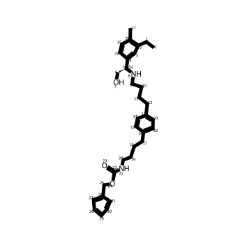 CCc1cc([C@@H](CO)NCCCCc2ccc(CCCCNC(=O)OCc3ccccc3)cc2)ccc1C